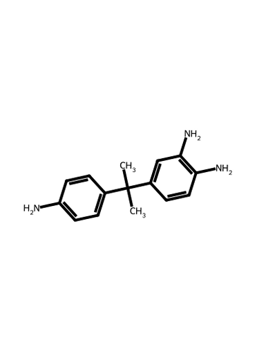 CC(C)(c1ccc(N)cc1)c1ccc(N)c(N)c1